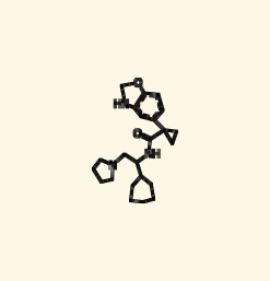 O=C(NC(CN1CCCC1)C1CCCCC1)C1(c2ccc3c(c2)NCO3)CC1